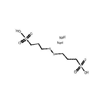 O=S(=O)(O)CCCSSCCCS(=O)(=O)O.[NaH].[NaH]